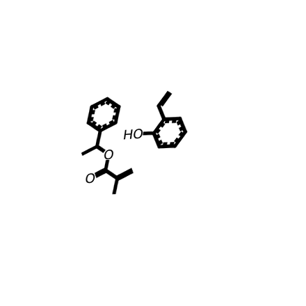 C=C(C)C(=O)OC(C)c1ccccc1.C=Cc1ccccc1O